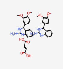 COc1ccc(C2NC(N)=Nc3ccccc32)cc1OC.COc1ccc(C2NC(N)=Nc3ccccc32)cc1OC.O=C(O)C=CC(=O)O